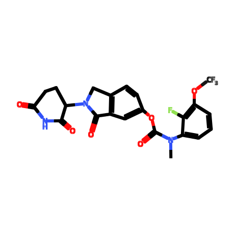 CN(C(=O)Oc1ccc2c(c1)C(=O)N(C1CCC(=O)NC1=O)C2)c1cccc(OC(F)(F)F)c1F